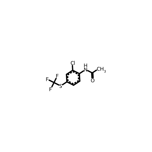 CC(=O)Nc1ccc(SC(F)(F)F)cc1Cl